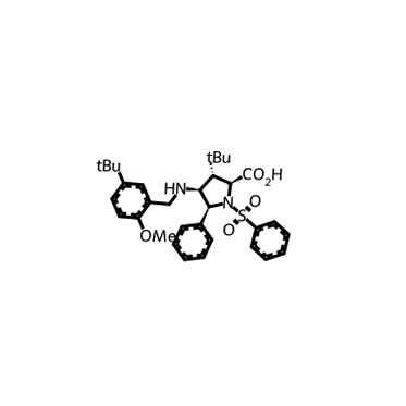 COc1ccc(C(C)(C)C)cc1CN[C@H]1[C@H](C(C)(C)C)[C@@H](C(=O)O)N(S(=O)(=O)c2ccccc2)[C@H]1c1ccccc1